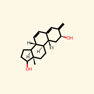 C=C1C=C2C=C[C@@H]3[C@H](CC[C@]4(C)C(O)CC[C@@H]34)[C@@]2(CC)C[C@@H]1O